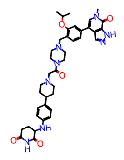 CC(C)Oc1cc(-c2cn(C)c(=O)c3[nH]ncc23)ccc1CN1CCN(C(=O)CN2CCC(c3ccc(NC4CCC(=O)NC4=O)cc3)CC2)CC1